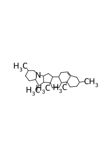 CC1CCC2(C)C(=CCC3C2CCC2(C)C3CC3C2C(C)C2CCC(C)CN23)C1